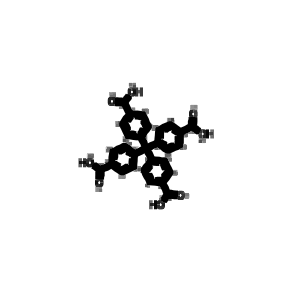 O=C(O)c1ccc(C(c2ccc(C(=O)O)cc2)(c2ccc(C(=O)O)cc2)c2ccc(C(=O)O)cc2)cc1